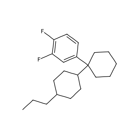 CCCC1CCC(C2(c3ccc(F)c(F)c3)CCCCC2)CC1